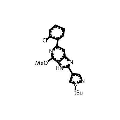 COc1nc(-c2ccccc2Cl)cc2nc(-c3cnn(C(C)(C)C)c3)[nH]c12